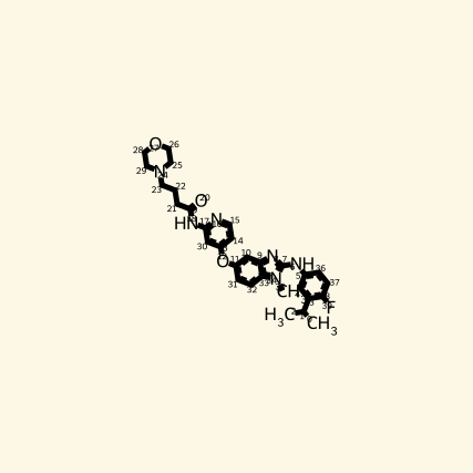 CC(C)c1cc(Nc2nc3cc(Oc4ccnc(NC(=O)CCCN5CCOCC5)c4)ccc3n2C)ccc1F